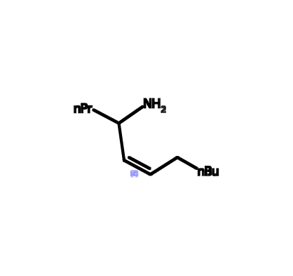 CCCCC/C=C\C(N)CCC